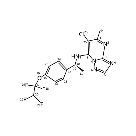 Cc1nc2ncnn2c(N[C@@H](C)c2ccc(OC(F)(F)C(F)F)cc2)c1Cl